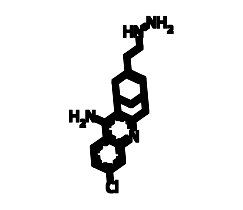 NNCCC1=CC2Cc3nc4cc(Cl)ccc4c(N)c3C(C1)C2